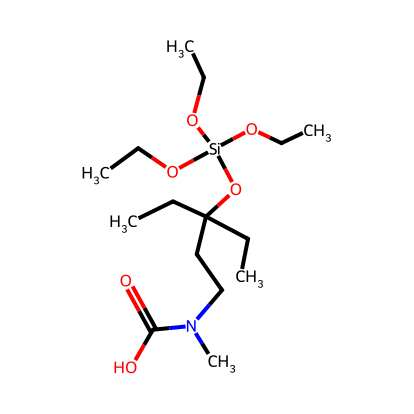 CCO[Si](OCC)(OCC)OC(CC)(CC)CCN(C)C(=O)O